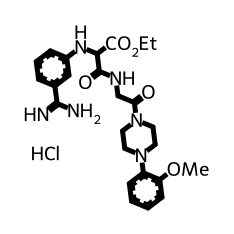 CCOC(=O)C(Nc1cccc(C(=N)N)c1)C(=O)NCC(=O)N1CCN(c2ccccc2OC)CC1.Cl